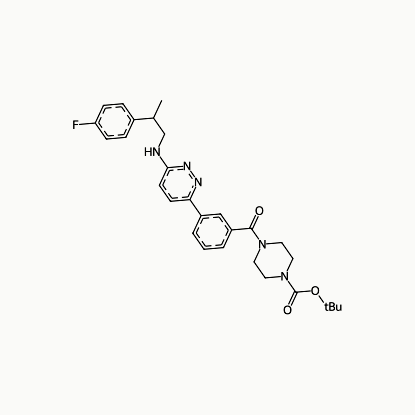 CC(CNc1ccc(-c2cccc(C(=O)N3CCN(C(=O)OC(C)(C)C)CC3)c2)nn1)c1ccc(F)cc1